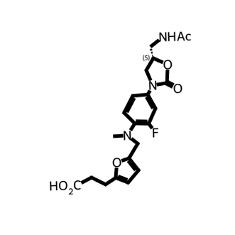 CC(=O)NC[C@H]1CN(c2ccc(N(C)Cc3ccc(CCC(=O)O)o3)c(F)c2)C(=O)O1